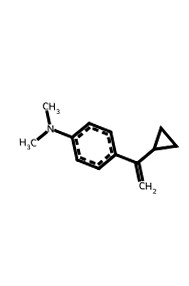 C=C(c1ccc(N(C)C)cc1)C1CC1